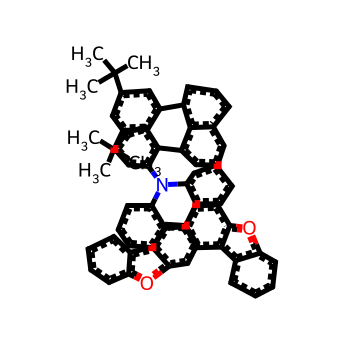 CC(C)(C)c1cc(-c2cccc3cccc(-c4ccccc4N(c4ccccc4-c4ccc5oc6ccccc6c5c4)c4ccccc4-c4ccc5oc6ccccc6c5c4)c23)cc(C(C)(C)C)c1